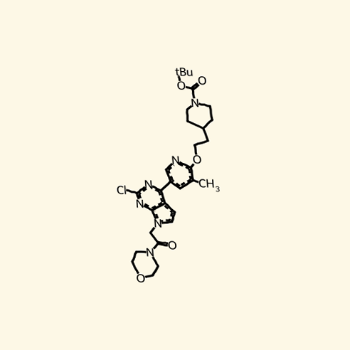 Cc1cc(-c2nc(Cl)nc3c2ccn3CC(=O)N2CCOCC2)cnc1OCCC1CCN(C(=O)OC(C)(C)C)CC1